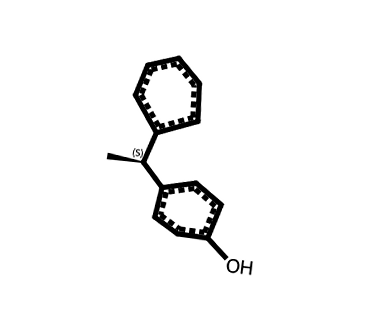 C[C@@H](c1ccccc1)c1ccc(O)cc1